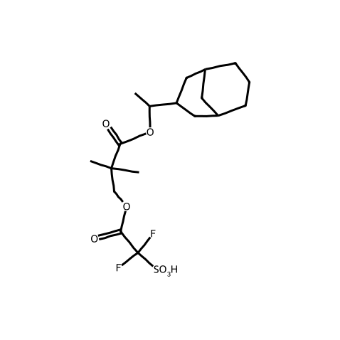 CC(OC(=O)C(C)(C)COC(=O)C(F)(F)S(=O)(=O)O)C1CC2CCCC(C2)C1